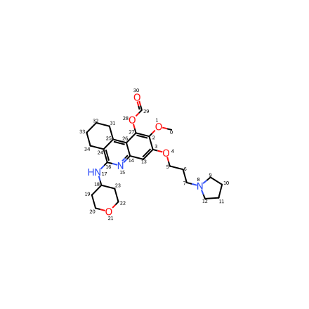 COc1c(OCCCN2CCCC2)cc2nc(NC3CCOCC3)c3c(c2c1OC=O)CCCC3